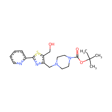 CC(C)(C)OC(=O)N1CCN(Cc2nc(-c3ccccn3)sc2CO)CC1